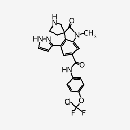 CN1C(=O)C2(CCNC2)c2c(-c3cc[nH]n3)cc(C(=O)Nc3ccc(OC(F)(F)Cl)cc3)cc21